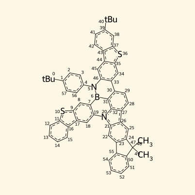 CC(C)(C)c1ccc(N2B3c4cc5sc6ccccc6c5cc4-n4c5cc6c(cc5c5ccc(c3c54)-c3cc4sc5cc(C(C)(C)C)ccc5c4cc32)C(C)(C)c2ccccc2-6)cc1